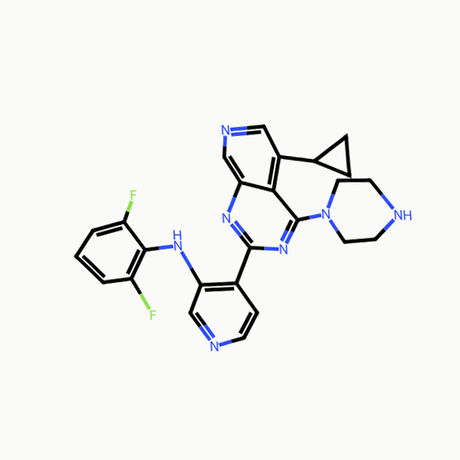 Fc1cccc(F)c1Nc1cnccc1-c1nc(N2CCNCC2)c2c(C3CC3)cncc2n1